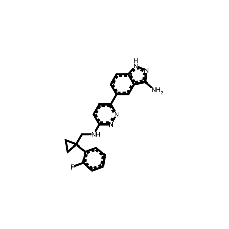 Nc1n[nH]c2ccc(-c3ccc(NCC4(c5ccccc5F)CC4)nn3)cc12